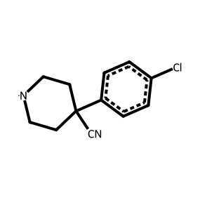 N#CC1(c2ccc(Cl)cc2)CC[N]CC1